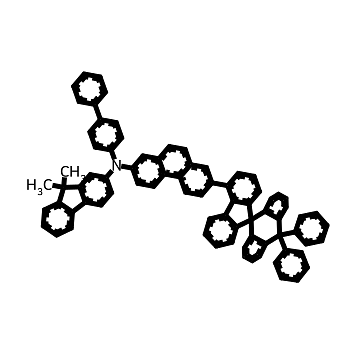 CC1(C)c2ccccc2-c2ccc(N(c3ccc(-c4ccccc4)cc3)c3ccc4c(ccc5cc(-c6cccc7c6-c6ccccc6C76c7ccccc7C(c7ccccc7)(c7ccccc7)c7ccccc76)ccc54)c3)cc21